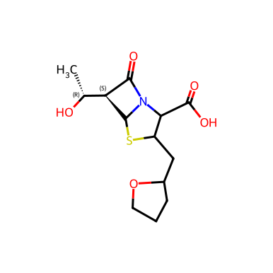 C[C@@H](O)[C@H]1C(=O)N2C(C(=O)O)C(CC3CCCO3)SC12